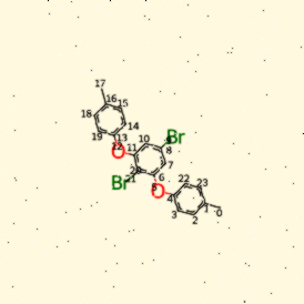 Cc1ccc(Oc2cc(Br)cc(Oc3ccc(C)cc3)c2Br)cc1